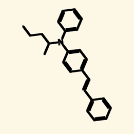 CCCC(C)N(c1ccccc1)c1ccc(/C=C/c2ccccc2)cc1